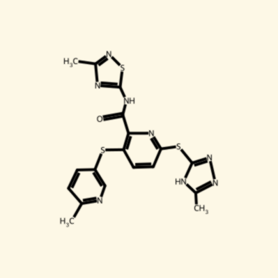 Cc1ccc(Sc2ccc(Sc3nnc(C)[nH]3)nc2C(=O)Nc2nc(C)ns2)cn1